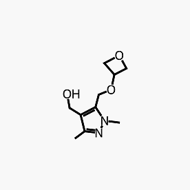 Cc1nn(C)c(COC2COC2)c1CO